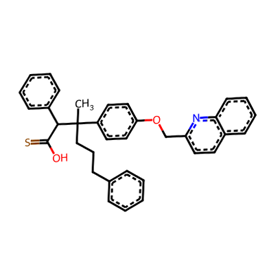 CC(CCCc1ccccc1)(c1ccc(OCc2ccc3ccccc3n2)cc1)C(C(O)=S)c1ccccc1